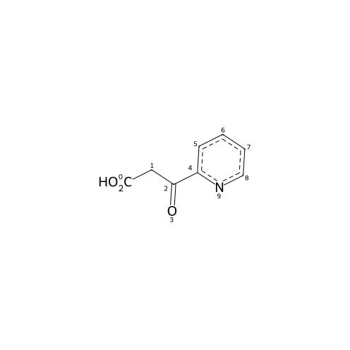 O=C(O)CC(=O)c1ccccn1